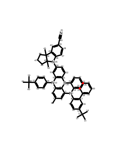 Cc1cc2c3c(c1)N(c1ccc(C(C)(C)C)cc1-c1ccccc1)c1ccccc1B3c1ccc(N3c4ccc(C#N)cc4C4(C)CCCC34C)cc1N2c1ccc(C(C)(C)C)cc1